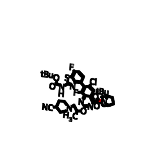 CC(CN1CCC(C#N)CC1)Oc1nc(N2CC3CCC(C2)N3C(=O)OC(C)(C)C)c2cc(Cl)c(-c3ccc(F)c4sc(NC(=O)OC(C)(C)C)nc34)c(F)c2n1